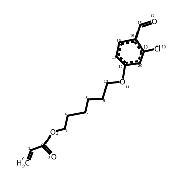 C=CC(=O)OCCCCCCOc1ccc(C=O)c(Cl)c1